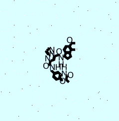 CC(=O)c1ccc2c(c1C)CC[C@@H]2NC(=O)c1cc(C(=O)NCc2ccc3c(c2)NC(=O)C(C)O3)nc2ccnn12